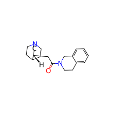 O=C(C[C@H]1CN2CCC1CC2)N1CCc2ccccc2C1